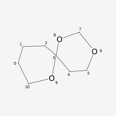 C1CCC2(CCOCO2)OC1